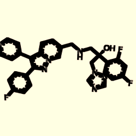 O[C@](CNCc1ccc2c(-c3ccncc3)c(-c3ccc(F)cc3)nn2c1)(Cn1cncn1)c1ccc(F)cc1F